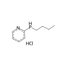 CCCCPc1ccccn1.Cl